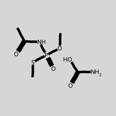 COP(=O)(NC(C)=O)SC.NC(=O)O